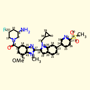 COc1cc(C(=O)N2C[C@H](N)C[C@@H](F)C2)cc2nc(-c3cc4ccc(-c5ccc(S(C)(=O)=O)nc5)cc4n3CC3CC3)n(C)c12